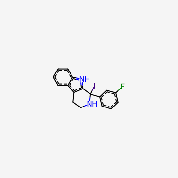 Fc1cccc(C2(I)NCCc3c2[nH]c2ccccc32)c1